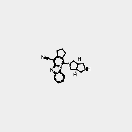 N#Cc1c2c(c(N3C[C@H]4CNC[C@H]4C3)n3c1nc1ccccc13)CCC2